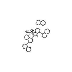 CC1(O)c2cccc3c(-c4cccc5ccccc45)ccc(c23)-c2nc3c(-c4cccc5ccccc45)cc(-c4cccc5ccccc45)cc3n21